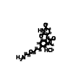 Cl.Cn1c(=O)n(C2CCC(=O)NC2=O)c2ccc(CCCOCCN)cc21